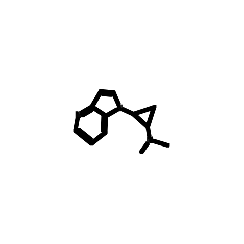 CN(C)C1CC1n1ccc2ncccc21